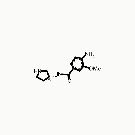 COc1cc(C(=O)NC[C@@H]2CCNC2)ccc1N